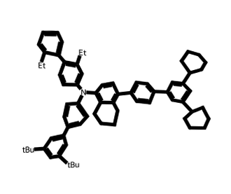 CCc1ccccc1-c1ccc(N(c2ccc(-c3cc(C(C)(C)C)cc(C(C)(C)C)c3)cc2)c2ccc(-c3ccc(-c4cc(C5CCCCC5)cc(C5CCCCC5)c4)cc3)c3c2CCCC3)cc1CC